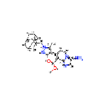 COC(=O)c1c(-c2cnn(CC34CC5CC(CC(C5)C3)C4)c2C)ccn2c(N)cnc12